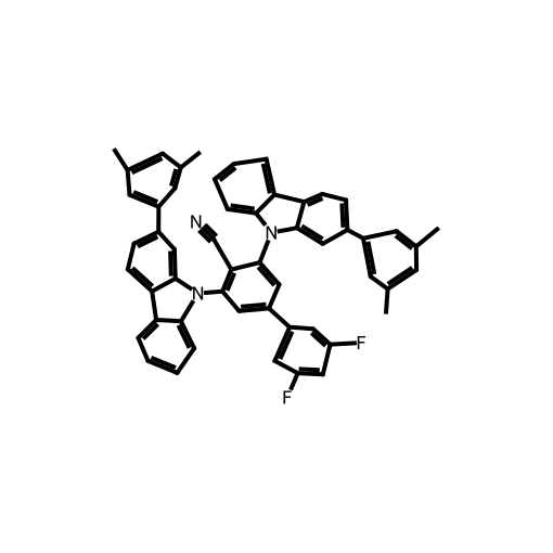 Cc1cc(C)cc(-c2ccc3c4ccccc4n(-c4cc(-c5cc(F)cc(F)c5)cc(-n5c6ccccc6c6ccc(-c7cc(C)cc(C)c7)cc65)c4C#N)c3c2)c1